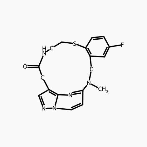 CN1Cc2cc(F)ccc2SCCNC(=O)Cc2cnn3ccc1nc23